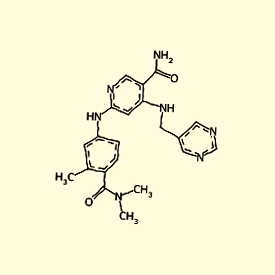 Cc1cc(Nc2cc(NCc3cncnc3)c(C(N)=O)cn2)ccc1C(=O)N(C)C